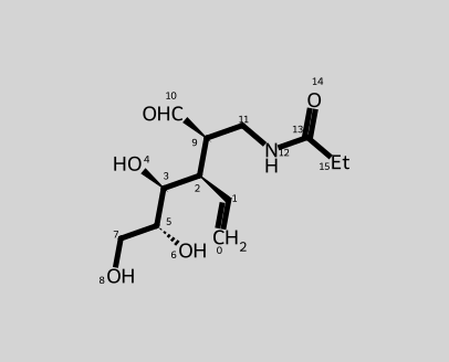 C=C[C@@H]([C@H](O)[C@H](O)CO)[C@@H](C=O)CNC(=O)CC